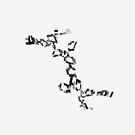 CC(C)(C)c1ccc2c(c1)c1cc(C(C)(C)C)ccc1n2-c1ccc2c3cc(-c4ccc5c(c4)c4ccc(-n6c7ccc(C(C)(C)C)cc7c7cc(C(C)(C)C)ccc76)cc4n5-c4ccccc4)ccc3n(-c3ccccc3)c2c1